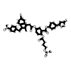 CC1=C(CC(=O)Oc2ccc(OC(=O)CCCO[N+](=O)[O-])c(C(=O)Oc3ccc(-c4cc(=S)ss4)cc3)c2)c2cc(F)ccc2/C1=C\c1ccc([S+](C)[O-])cc1